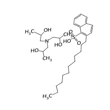 CC(O)CN(CC(C)O)CC(C)O.CCCCCCCCCCCCc1ccc2ccccc2c1S(=O)(=O)O